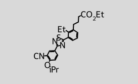 [C-]#[N+]c1cc(-c2nsc(-c3cccc(CCCC(=O)OCC)c3CC)n2)ccc1OC(C)C